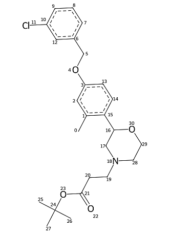 Cc1cc(OCc2cccc(Cl)c2)ccc1C1CN(CCC(=O)OC(C)(C)C)CCO1